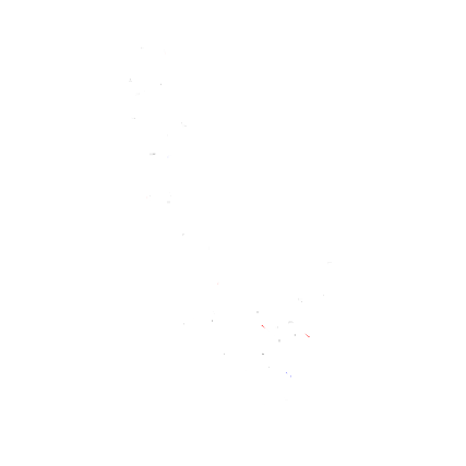 CC(=O)N[C@@H]1CC=C(C(=O)OCCCOC(=O)/C=C/c2ccc3c(c2)OCO3)O[C@H]1[C@H](O)CCO